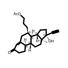 C#C[C@]1(O)CC[C@H]2[C@@H]3[C@H](CCCOC(C)=O)CC4=CC(=O)CC[C@@H]4[C@H]3CC[C@@]21C